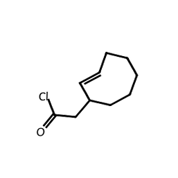 O=C(Cl)CC1/C=C/CCCCC1